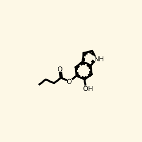 CCCC(=O)Oc1cc2cc[nH]c2cc1O